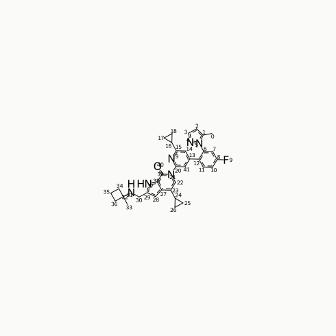 Cc1ccnn1-c1cc(F)ccc1-c1cc(C2CC2)nc(-n2cc(C3CC3)c3cc(CNC4(C)CCC4)[nH]c3c2=O)c1